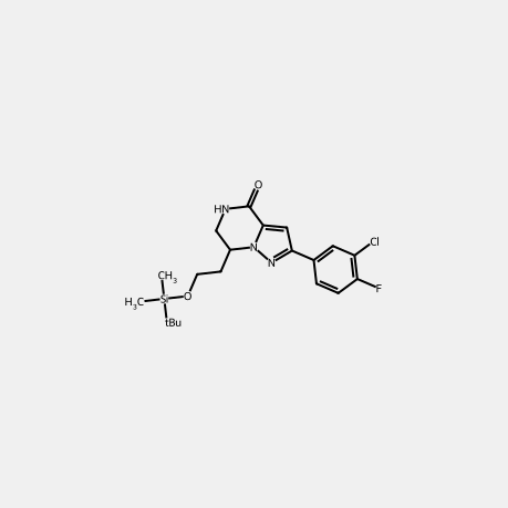 CC(C)(C)[Si](C)(C)OCCC1CNC(=O)c2cc(-c3ccc(F)c(Cl)c3)nn21